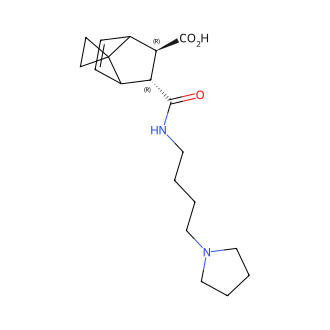 O=C(O)[C@@H]1C2C=CC([C@H]1C(=O)NCCCCN1CCCC1)C21CC1